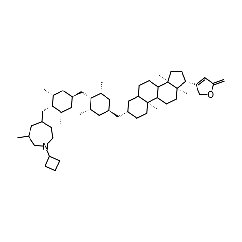 C=C1C=C([C@H]2CC[C@]3(C)C4CCC5C[C@@H](C[C@@H]6C[C@@H](C)[C@@H](C[C@@H]7C[C@@H](C)[C@@H](CC8CCN(C9CCC9)CC(C)C8)[C@@H](C)C7)[C@@H](C)C6)CC[C@]5(C)C4CC[C@]23C)CO1